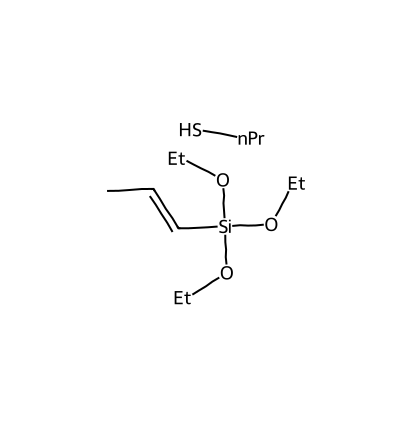 CC=C[Si](OCC)(OCC)OCC.CCCS